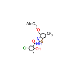 COCCOCc1cc(C(F)(F)F)cc2sc(NC(=O)c3cc(Cl)cc(C)c3O)nc12